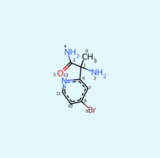 CC(N)(C(N)=O)c1cc(Br)ccn1